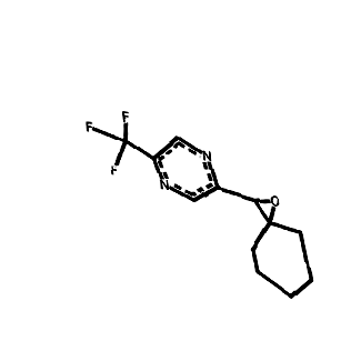 FC(F)(F)c1cnc(C2OC23CCCCC3)cn1